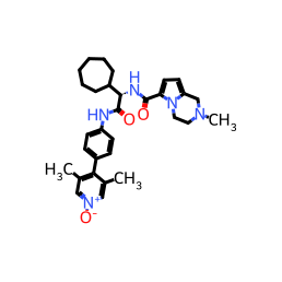 Cc1c[n+]([O-])cc(C)c1-c1ccc(NC(=O)[C@@H](NC(=O)c2ccc3n2CCN(C)C3)C2CCCCCC2)cc1